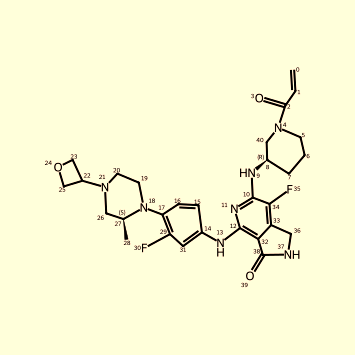 C=CC(=O)N1CCC[C@@H](Nc2nc(Nc3ccc(N4CCN(C5COC5)C[C@@H]4C)c(F)c3)c3c(c2F)CNC3=O)C1